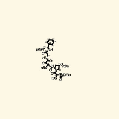 CCCCC(NC(=O)[C@@H]1C[C@@H](OC(C)(C)C)CN1C(=O)[C@@H](NC(=O)OCC(C)C)C(C)(C)C)C(=O)C(=O)NCC(=O)N[C@H](CN=[N+]=[N-])c1ccccc1